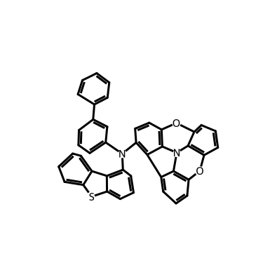 c1ccc(-c2cccc(N(c3cccc4sc5ccccc5c34)c3ccc4c5c3c3cccc6c3n5-c3c(cccc3O4)O6)c2)cc1